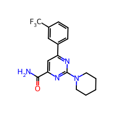 NC(=O)c1cc(-c2cccc(C(F)(F)F)c2)nc(N2CCCCC2)n1